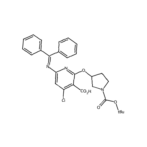 CC(C)(C)OC(=O)N1CCC(Oc2nc(N=C(c3ccccc3)c3ccccc3)cc(Cl)c2C(=O)O)C1